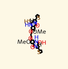 COc1cc2c(cc1OCCCOc1cc3c(cc1OC)C(=O)N1C=C(c4cccs4)C[C@H]1C(S)N3)NC(O)[C@@H]1CC(c3cccs3)=CN1C2=O